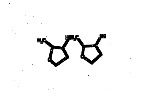 CC1OCCC1S.CC1OCCC1S